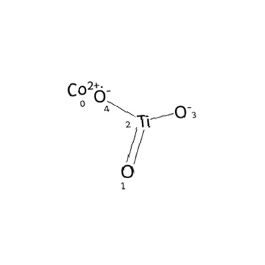 [Co+2].[O]=[Ti]([O-])[O-]